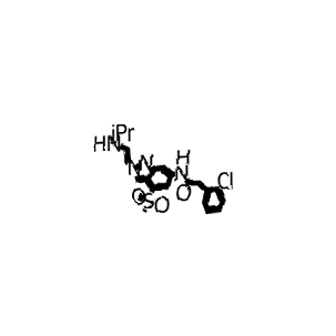 CC(C)NCCn1cc2c(S(C)(=O)=O)cc(NC(=O)Cc3ccccc3Cl)cc2n1